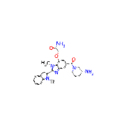 CCn1c(-c2nc3cc(C(=O)N4CCC[C@@H](N)C4)cc(OCC(N)=O)c3n2C)cc2ccccc21